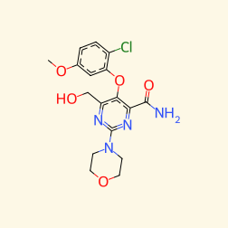 COc1ccc(Cl)c(Oc2c(CO)nc(N3CCOCC3)nc2C(N)=O)c1